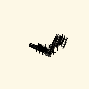 O=[Si](O)O.O=[Si](O)O.O=[Si](O)O.O=[Si](O)O.O=[Si](O)O.[CaH2].[CaH2].[CaH2].[CaH2].[CaH2].[CaH2].[CaH2].[CaH2].[CaH2].[CaH2].[CaH2].[CaH2].[CaH2].[CaH2].[CaH2].[CaH2].[CaH2].[CaH2].[CaH2].[CaH2].[CaH2].[CaH2]